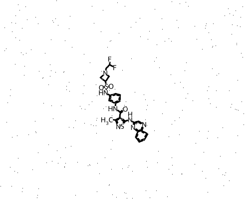 Cc1nsc(Nc2cnc3ccccc3n2)c1C(=O)Nc1cccc(NS(=O)(=O)C2CN(CC(F)F)C2)c1